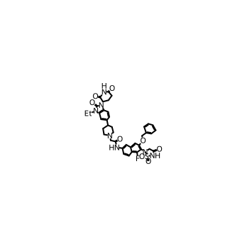 CCn1c(=O)n(C2CCC(=O)NC2=O)c2ccc(C3CCN(CC(=O)Nc4ccc5c(F)c(N6CC(=O)NS6(=O)=O)c(OCc6ccccc6)cc5c4)CC3)cc21